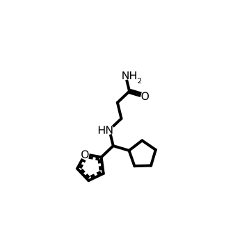 NC(=O)CCNC(c1ccco1)C1CCCC1